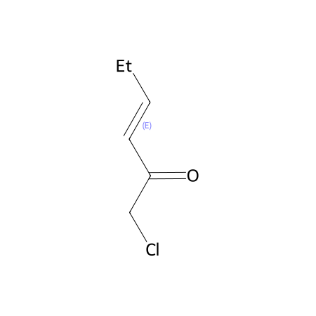 CC/C=C/C(=O)CCl